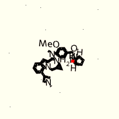 COc1cc(C(=O)N2C[C@H]3CC[C@@H]2[C@@H]3N)cc2nc(-c3cc4cccc(C5CN(C)C5)c4n3CC3CC3)n(C)c12